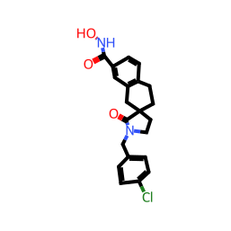 O=C(NO)c1ccc2c(c1)CC1(CC2)CCN(Cc2ccc(Cl)cc2)C1=O